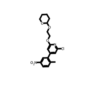 Cc1ccc([N+](=O)[O-])cc1-c1cc(Cl)nc(OCCOC2CCCCO2)c1